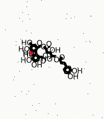 O=C[C@@H]1OC(=O)c2cc(O)c(O)c(O)c2-c2c(cc(O)c(O)c2O)C(=O)O[C@H]1[C@H](O)[C@H](O)COC(=O)/C=C/c1ccc(O)c(O)c1